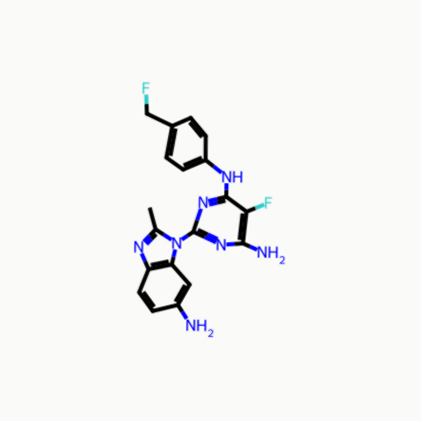 Cc1nc2ccc(N)cc2n1-c1nc(N)c(F)c(Nc2ccc(CF)cc2)n1